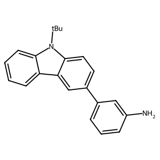 CC(C)(C)n1c2ccccc2c2cc(-c3cccc(N)c3)ccc21